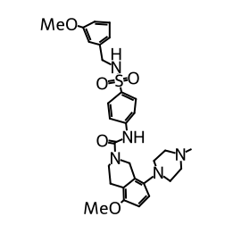 COc1cccc(CNS(=O)(=O)c2ccc(NC(=O)N3CCc4c(OC)ccc(N5CCN(C)CC5)c4C3)cc2)c1